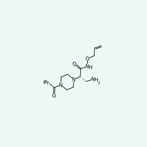 C=CCONC(=O)[C@H](CN)N1CCN(C(=O)C(C)C)CC1